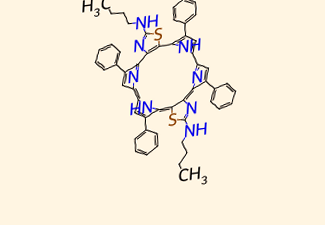 CCCCNc1nc2c3nc(c4cc(-c5ccccc5)c([nH]4)c4sc(NCCCC)nc4c4nc(c5cc(-c6ccccc6)c([nH]5)c2s1)C=C4c1ccccc1)C=C3c1ccccc1